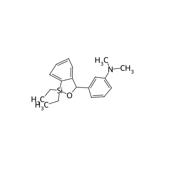 CC[Si]1(CC)OC(c2cccc(N(C)C)c2)c2ccccc21